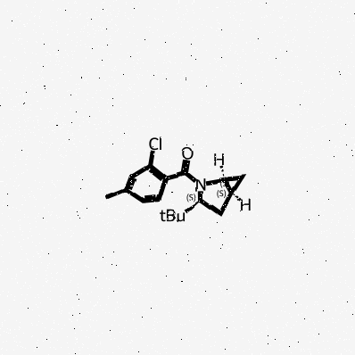 Cc1ccc(C(=O)N2[C@H](C(C)(C)C)C[C@@H]3C[C@@H]32)c(Cl)c1